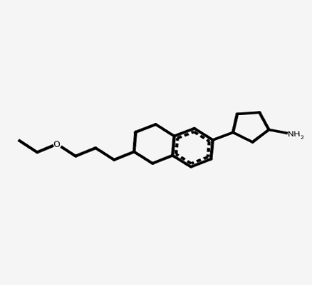 CCOCCCC1CCc2cc(C3CCC(N)C3)ccc2C1